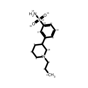 CCCN1CCCC(c2cccc(S(N)(=O)=O)c2)C1